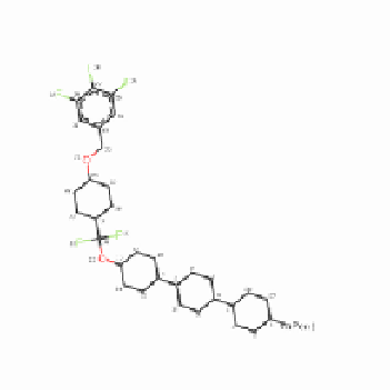 CCCCCC1CCC(C2CCC(C3CCC(OC(F)(F)C4CCC(OCc5cc(F)c(F)c(F)c5)CC4)CC3)CC2)CC1